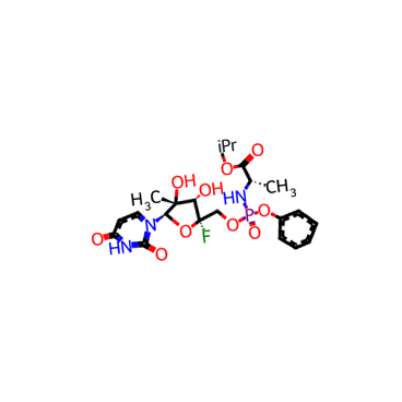 CC(C)OC(=O)[C@H](C)NP(=O)(OC[C@@]1(F)O[C@@H](n2ccc(=O)[nH]c2=O)[C@](C)(O)[C@@H]1O)Oc1ccccc1